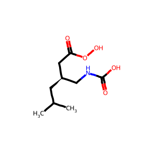 CC(C)C[C@H](CNC(=O)O)CC(=O)OO